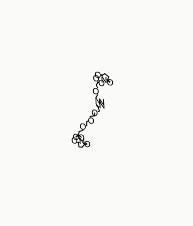 O=C(CCOCCOCCOCc1cn(CCOCCC(=O)ON2C(=O)CCC2=O)nn1)ON1C(=O)CCC1=O